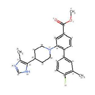 COC(=O)c1ccc(-c2ccc(F)c(C)c2)c(N2CCC(c3[nH]cnc3C)CC2)c1